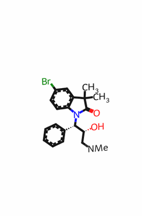 CNC[C@@H](O)[C@H](c1ccccc1)N1C(=O)C(C)(C)c2cc(Br)ccc21